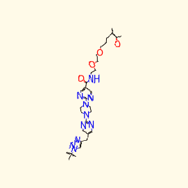 CC(=O)C(C)CCCOCCOCCNC(=O)c1cnc(N2CCN(c3ncc(Cc4cn(C(C)(C)C)nn4)cn3)CC2)nc1